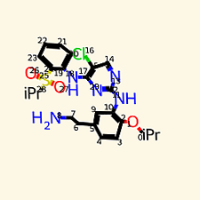 CC(C)Oc1ccc(CCN)cc1Nc1ncc(Cl)c(Nc2ccccc2S(=O)(=O)C(C)C)n1